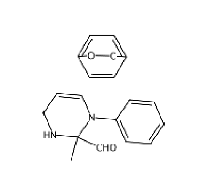 CC1(C=O)NCC=CN1c1ccccc1.c1cc2ccc1CO2